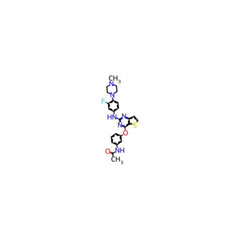 CC(=O)Nc1cccc(Oc2nc(Nc3ccc(N4CCN(C)CC4)c(F)c3)nc3ccsc23)c1